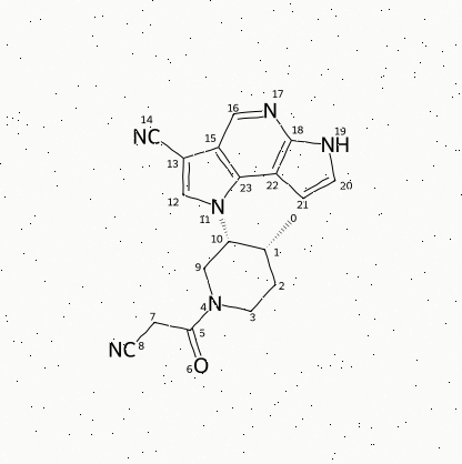 C[C@@H]1CCN(C(=O)CC#N)C[C@@H]1n1cc(C#N)c2cnc3[nH]ccc3c21